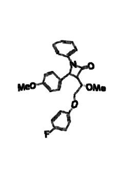 COc1ccc(C2C([C@@H](COc3ccc(F)cc3)OC)C(=O)N2c2ccccc2)cc1